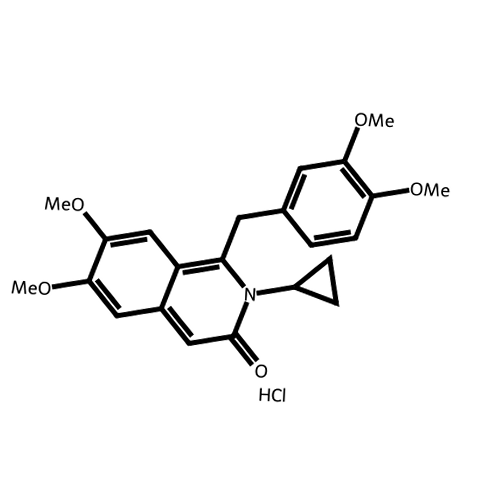 COc1ccc(Cc2c3cc(OC)c(OC)cc3cc(=O)n2C2CC2)cc1OC.Cl